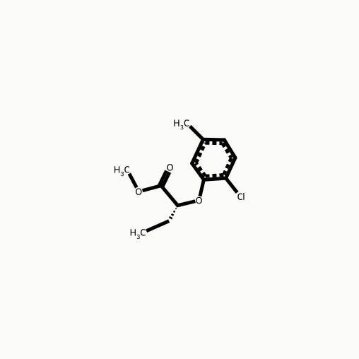 CC[C@@H](Oc1cc(C)ccc1Cl)C(=O)OC